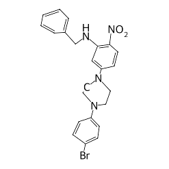 O=[N+]([O-])c1ccc(N2CCN(c3ccc(Br)cc3)CC2)cc1NCc1ccccc1